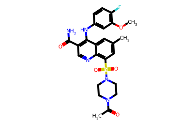 COc1cc(Nc2c(C(N)=O)cnc3c(S(=O)(=O)N4CCN(C(C)=O)CC4)cc(C)cc23)ccc1F